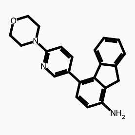 Nc1ccc(-c2ccc(N3CCOCC3)nc2)c2c1Cc1ccccc1-2